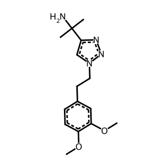 COc1ccc(CCn2cc(C(C)(C)N)nn2)cc1OC